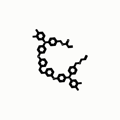 C=CCOCc1ccc(N(c2ccc(Oc3cccc(/C=C\c4cccc(Oc5ccc(N(c6ccc(COC(=O)C=C)cc6)c6ccc(C)c(C)c6)cc5)c4)c3)cc2)c2ccc(C)c(C)c2)cc1